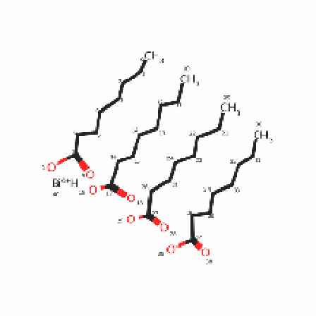 CCCCCCCC(=O)[O-].CCCCCCCC(=O)[O-].CCCCCCCC(=O)[O-].CCCCCCCC(=O)[O-].[BiH+4]